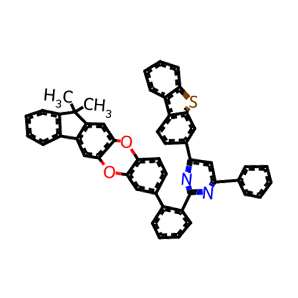 CC1(C)c2ccccc2-c2cc3c(cc21)Oc1ccc(-c2ccccc2-c2nc(-c4ccccc4)cc(-c4ccc5c(c4)sc4ccccc45)n2)cc1O3